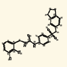 O=C(NCc1cccc(Cl)c1Cl)Nc1ccc(S(=O)(=O)Cc2ccc3c(c2)CCC3)cc1